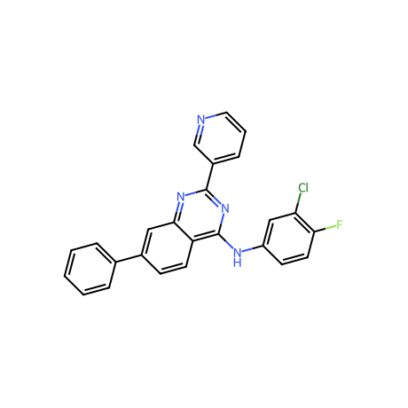 Fc1ccc(Nc2nc(-c3cccnc3)nc3cc(-c4ccccc4)ccc23)cc1Cl